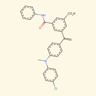 C=C(c1ccc(N(C)c2ccc(Cl)cc2)cc1)c1cc(C(=O)O)cc(C(=O)Nc2ccccc2)c1